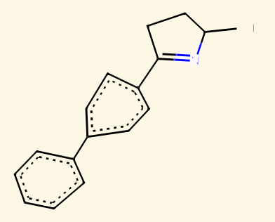 CC1CCC(c2ccc(-c3ccccc3)cc2)=N1